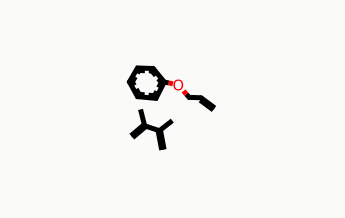 C=C(C)C(=C)C.C=CCOc1ccccc1